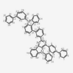 c1ccc(-c2ccc(-c3nc(-c4cccc(-c5cccc6c5c5ccccc5n6-c5cccc(-c6ccccc6)c5)c4)nc4c5ccccc5n(-c5ccccc5)c34)cc2)cc1